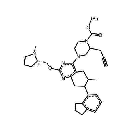 C#CCC1CN(c2nc(OC[C@@H]3CCCN3C)nc3c2CC(C)C(c2cccc4c2CCC4)C3)CCN1C(=O)OC(C)(C)C